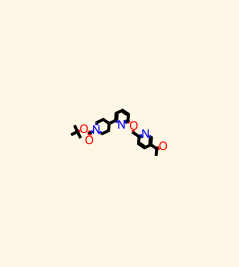 CC(=O)c1ccc(COc2cccc(C3CCN(C(=O)OC(C)(C)C)CC3)n2)nc1